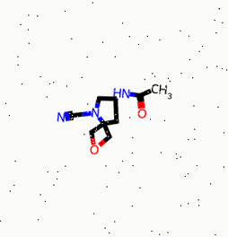 CC(=O)NC1CN(C#N)C2(COC2)C1